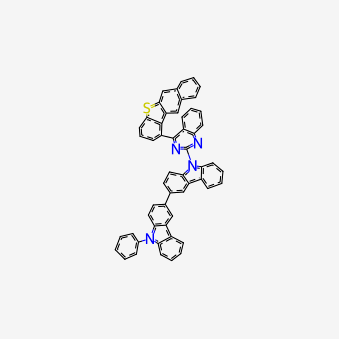 c1ccc(-n2c3ccccc3c3cc(-c4ccc5c(c4)c4ccccc4n5-c4nc(-c5cccc6sc7cc8ccccc8cc7c56)c5ccccc5n4)ccc32)cc1